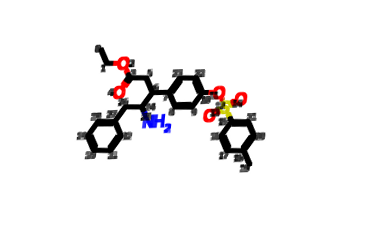 CCOC(=O)CC(c1ccc(OS(=O)(=O)c2ccc(C)cc2)cc1)C(N)Cc1ccccc1